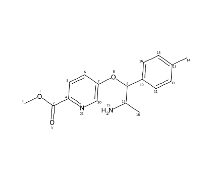 COC(=O)c1ccc(OC(c2ccc(C)cc2)C(C)N)cn1